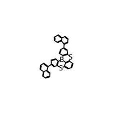 c1cc2c3c(c1)Sc1cc(-c4cccc5ccccc45)ccc1B3c1ccc(-c3cccc4ccccc34)cc1S2